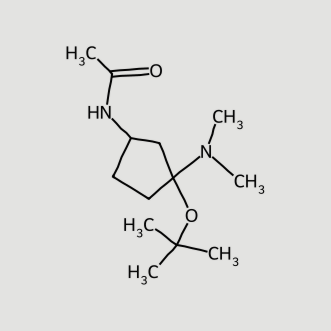 CC(=O)NC1CCC(OC(C)(C)C)(N(C)C)C1